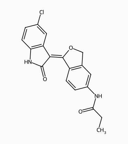 CCC(=O)Nc1ccc2c(c1)CO/C2=C1/C(=O)Nc2ccc(Cl)cc21